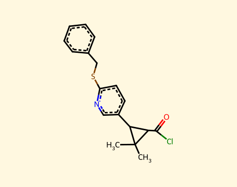 CC1(C)C(C(=O)Cl)C1c1ccc(SCc2ccccc2)nc1